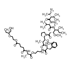 CCC(CO)OCCOC(=O)CCCC(=O)N[C@@H](C)C(=O)OCCCNC(=O)[C@H](Cc1ccccc1)NC(=O)[C@H](C)[C@@H](OC)[C@@H]1CCCN1C(=O)C[C@@H](OC)[C@H]([C@@H](C)CC)N(C)C(=O)[C@@H](NC(=O)[C@H](C(C)C)N(C)C)C(C)C